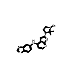 CCN1CC[C@H](c2cc3c(Nc4ccc5scnc5c4)ccnc3s2)C1(C)C